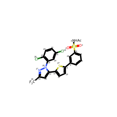 CC(=O)NS(=O)(=O)c1cccc(-c2ccc(-c3cc(C(F)(F)F)nn3-c3cc(Cl)ccc3Cl)s2)c1